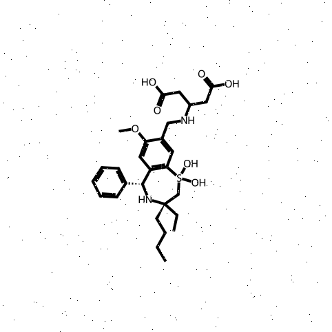 CCCC[C@]1(CC)CS(O)(O)c2cc(CNC(CC(=O)O)CC(=O)O)c(OC)cc2[C@@H](c2ccccc2)N1